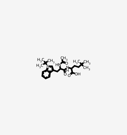 CC(=O)NC(Cc1cn(C(C)(C)C)c2ccccc12)C(=O)NC(CCC(C)(C)C)C(=O)O